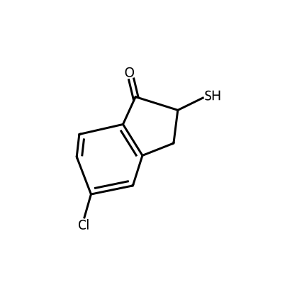 O=C1c2ccc(Cl)cc2CC1S